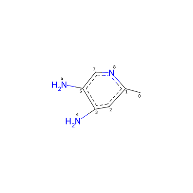 Cc1cc(N)c(N)cn1